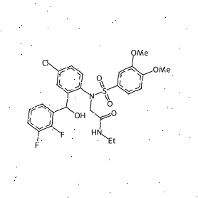 CCNC(=O)CN(c1ccc(Cl)cc1C(O)c1cccc(F)c1F)S(=O)(=O)c1ccc(OC)c(OC)c1